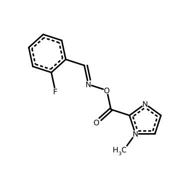 Cn1ccnc1C(=O)ON=Cc1ccccc1F